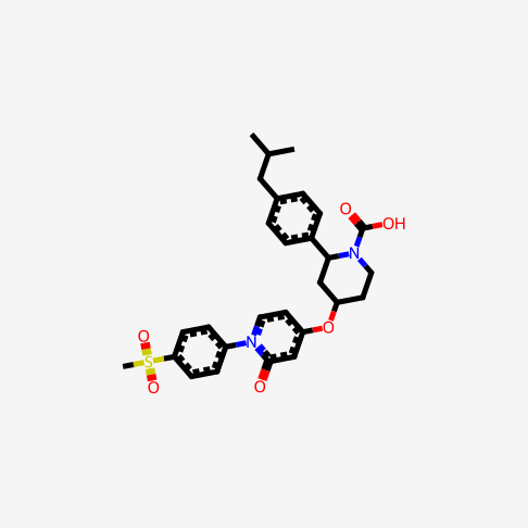 CC(C)Cc1ccc(C2CC(Oc3ccn(-c4ccc(S(C)(=O)=O)cc4)c(=O)c3)CCN2C(=O)O)cc1